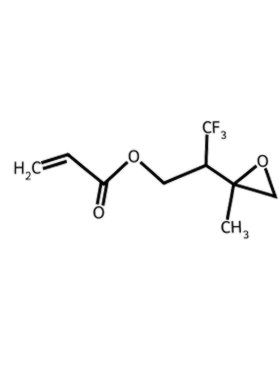 C=CC(=O)OCC(C(F)(F)F)C1(C)CO1